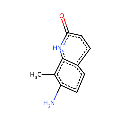 Cc1c(N)ccc2ccc(=O)[nH]c12